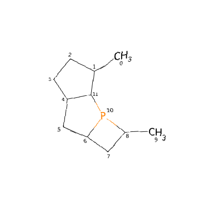 CC1CCC2CC3CC(C)P3C12